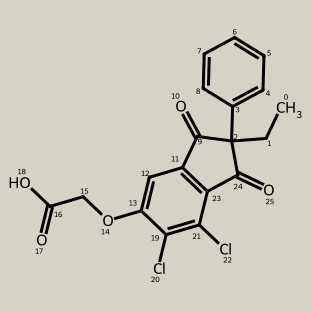 CCC1(c2ccccc2)C(=O)c2cc(OCC(=O)O)c(Cl)c(Cl)c2C1=O